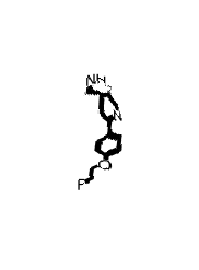 NCc1ccnc(-c2ccc(OCCF)cc2)c1